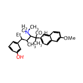 CCC(c1cccc(O)c1)C(C)C(N(C)C)C(C)(C(=O)O)c1ccc2cc(OC)ccc2c1